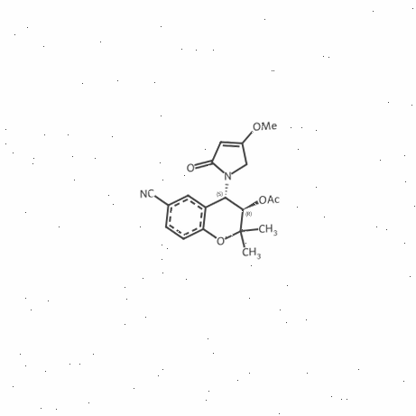 COC1=CC(=O)N([C@H]2c3cc(C#N)ccc3OC(C)(C)[C@@H]2OC(C)=O)C1